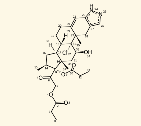 CCC(=O)OCC(=O)[C@@]1(OC(=O)CC)[C@@H](C)C[C@H]2[C@@H]3CCC4=Cc5[nH]ncc5C[C@]4(C)[C@@]3(Cl)[C@@H](O)C[C@@]21C